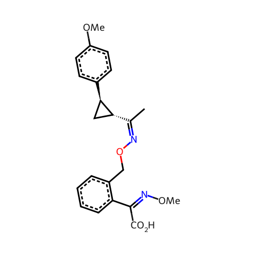 CON=C(C(=O)O)c1ccccc1CON=C(C)[C@@H]1C[C@H]1c1ccc(OC)cc1